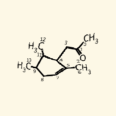 CC(=O)CC1C(C)=CCC(C)C1C